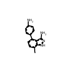 Cc1ccc(-c2ccc(N)cc2)c2c(N)n[nH]c12